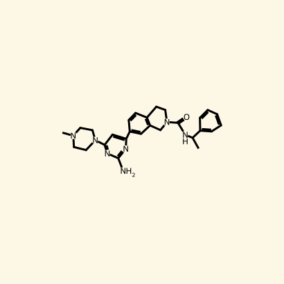 CC(NC(=O)N1CCc2ccc(-c3cc(N4CCN(C)CC4)nc(N)n3)cc2C1)c1ccccc1